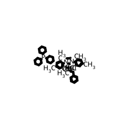 C1CCC(P(C2CCCCC2)C2CCCCC2)CC1.C[C](Cc1ccccc1)=[Ru]([Cl])([Cl])=[C]1N(c2c(C)cc(C)cc2C)CCN1c1c(C)cc(C)cc1C